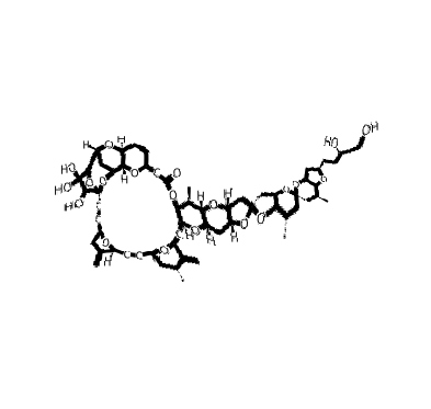 C=C1C2C[C@@H]3O[C@H]4C[C@H]5O[C@@]6(CC7O[C@]8(C[C@H](C)C9O[C@H](CC[C@@H](O)CO)CC9O8)C[C@H](C)C7O6)C[C@H]5O[C@H]4[C@H](C)C3OC(=O)CC3CC[C@@H]4O[C@@H]5CC(O[C@]6(CCC7CC(=C)[C@H](CC[C@@H](C[C@H]1C)O2)O7)OC5C(O)(O)C6O)[C@H]4O3